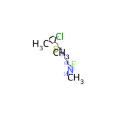 C\C=C/N=C(F)\C=C\C/C=C/C=C(/Cc1cc(C)ccc1Cl)SC